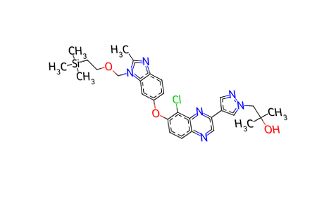 Cc1nc2ccc(Oc3ccc4ncc(-c5cnn(CC(C)(C)O)c5)nc4c3Cl)cc2n1COCC[Si](C)(C)C